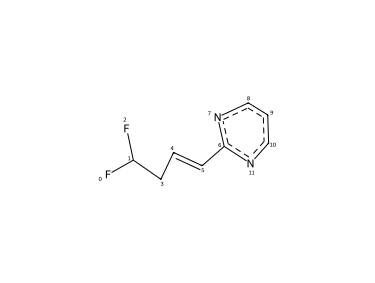 FC(F)CC=Cc1ncccn1